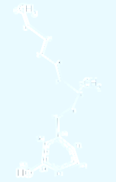 CCCCCCC(C)CCc1cccc(O)c1